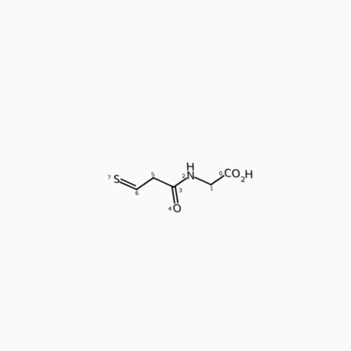 O=C(O)CNC(=O)CC=S